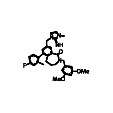 COc1cc(CN2CCCc3c(cc(Cn4ccn(C)c4=N)cc3-c3ccc(F)cc3C)C2=O)cc(OC)c1